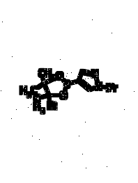 CCC1(C)OB(c2cnn(C(C)C)c2)OC1(C)C